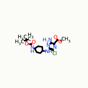 COC(=O)c1nc(Cl)c(NC2CCC(NC(=O)OC(C)(C)C)CC2)nc1N